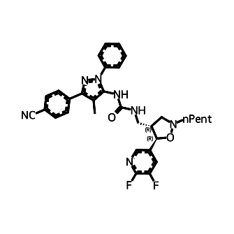 CCCCCN1C[C@@H](CNC(=O)Nc2c(C)c(-c3ccc(C#N)cc3)nn2-c2ccccc2)[C@H](c2cnc(F)c(F)c2)O1